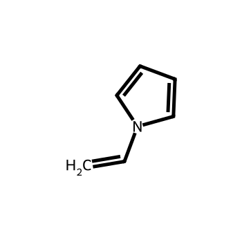 C=Cn1cccc1